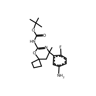 CC(C)(C)OC(=O)NC1=NC(C)(c2cc(N)ccc2F)CC2(CCC2)O1